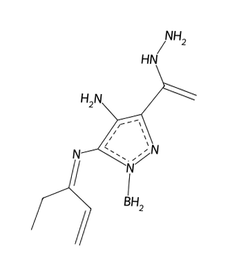 Bn1nc(C(=C)NN)c(N)c1/N=C(\C=C)CC